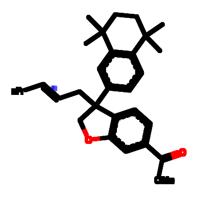 CCC/C=C/CC1(c2ccc3c(c2)C(C)(C)CCC3(C)C)COc2cc(C(=O)OC)ccc21